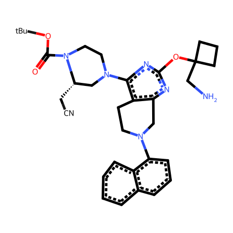 CC(C)(C)OC(=O)N1CCN(c2nc(OC3(CN)CCC3)nc3c2CCN(c2cccc4ccccc24)C3)C[C@@H]1CC#N